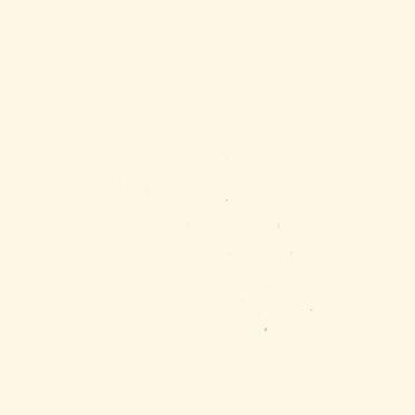 c1cc2c3c4c5c(c6cc7cccc8c7c7c6c(c5cc3c1)SS=7S8)SS=4S2